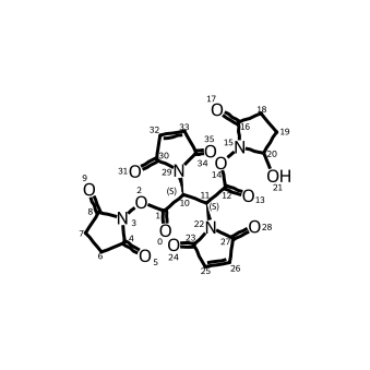 O=C(ON1C(=O)CCC1=O)[C@H]([C@@H](C(=O)ON1C(=O)CCC1O)N1C(=O)C=CC1=O)N1C(=O)C=CC1=O